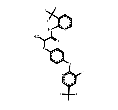 CC(Oc1ccc(Oc2ncc(C(F)(F)F)cc2Cl)cc1)C(=O)Nc1ncccc1C(F)(F)F